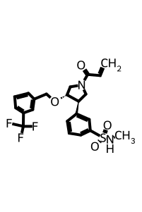 C=CC(=O)N1C[C@@H](OCc2cccc(C(F)(F)F)c2)[C@H](c2cccc(S(=O)(=O)NC)c2)C1